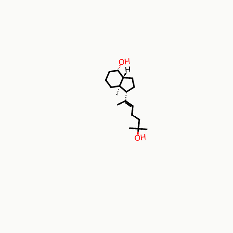 C/C(=C\CCC(C)(C)O)[C@H]1CC[C@H]2[C@@H](O)CCC[C@]12C